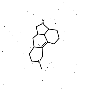 CN1CCC2CC3CNC4CCCC(=C2C1)C34